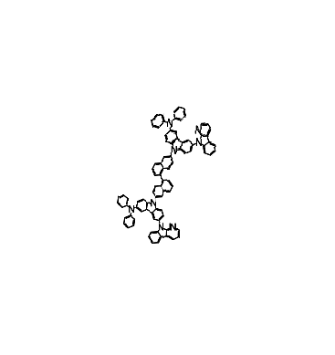 c1ccc(N(c2ccccc2)c2ccc3c(c2)c2cc(-n4c5ccccc5c5cccnc54)ccc2n3-c2ccc3c(-c4cccc5cc(-n6c7ccc(N(c8ccccc8)c8ccccc8)cc7c7cc(-n8c9ccccc9c9cccnc98)ccc76)ccc45)cccc3c2)cc1